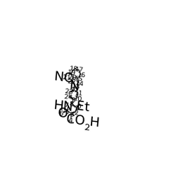 CCc1cc(C(=O)O)c(=O)[nH]c1-c1ccc(N2CC3CCCCC3(C#N)C2)cc1